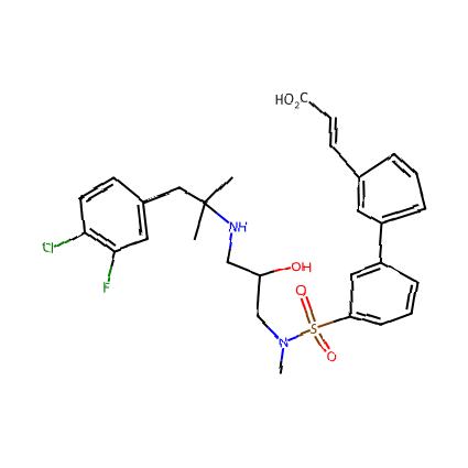 CN(CC(O)CNC(C)(C)Cc1ccc(Cl)c(F)c1)S(=O)(=O)c1cccc(-c2cccc(C=CC(=O)O)c2)c1